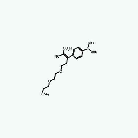 CCCCN(CCCC)c1ccc(/C(CCOCCOCCOC)=C(/C#N)C(=O)O)cc1